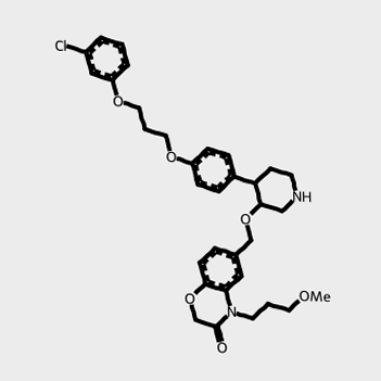 COCCCN1C(=O)COc2ccc(COC3CNCCC3c3ccc(OCCCOc4cccc(Cl)c4)cc3)cc21